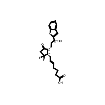 O=C(O)CCCC=CC[C@@H]1[C@@H](CC[C@@H](O)c2cc3ccccc3s2)C(=O)CC1(F)F